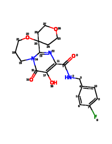 O=C(NCc1[c]cc(F)cc1)c1nc2n(c(=O)c1O)CCCOC21CCOCC1